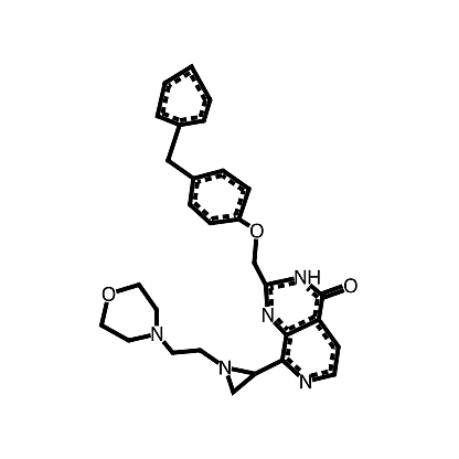 O=c1[nH]c(COc2ccc(Cc3ccccc3)cc2)nc2c(C3CN3CCN3CCOCC3)nccc12